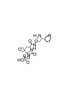 NC(CONC(=O)C1CC2(COC2)C2CN1C(=O)N2OS(=O)(=O)O)c1cccnc1